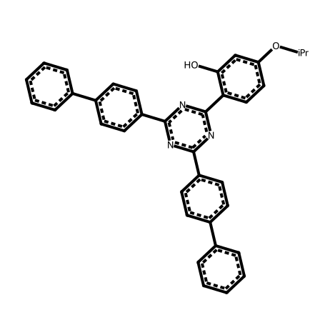 CC(C)Oc1ccc(-c2nc(-c3ccc(-c4ccccc4)cc3)nc(-c3ccc(-c4ccccc4)cc3)n2)c(O)c1